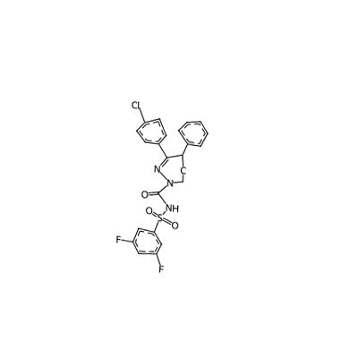 O=C(NS(=O)(=O)c1cc(F)cc(F)c1)N1CCC(c2ccccc2)C(c2ccc(Cl)cc2)=N1